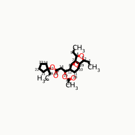 CCC1OC(CC)C2C3OC(CC3C(CC(=O)OC3(CC)CCCC3)OC(C)=O)C12